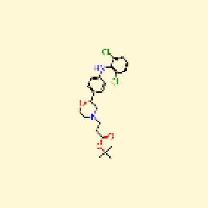 CC(C)(C)OC(=O)CCN1CCOC(c2ccc(Nc3c(Cl)cccc3Cl)cc2)C1